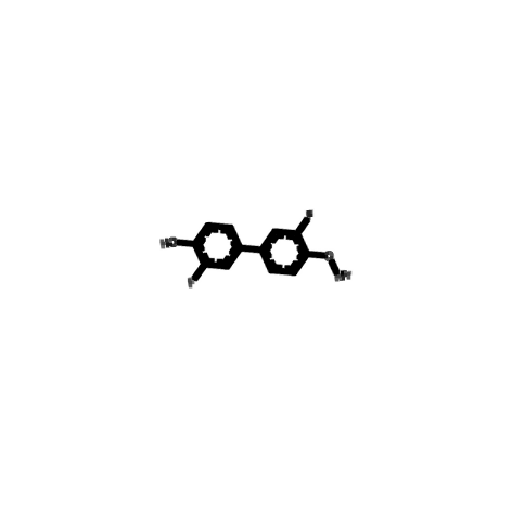 CCCOc1ccc(-c2ccc(O)c(F)c2)cc1F